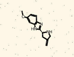 C=C1CN[C@H](c2nc3ccc(OC)cc3[nH]2)C1